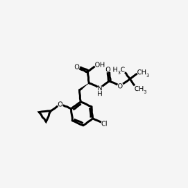 CC(C)(C)OC(=O)N[C@@H](Cc1cc(Cl)ccc1OC1CC1)C(=O)O